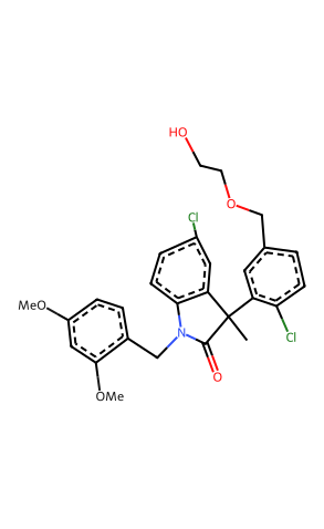 COc1ccc(CN2C(=O)C(C)(c3cc(COCCO)ccc3Cl)c3cc(Cl)ccc32)c(OC)c1